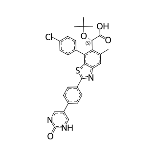 Cc1cc2nc(-c3ccc(-c4cnc(=O)[nH]c4)cc3)sc2c(-c2ccc(Cl)cc2)c1[C@H](OC(C)(C)C)C(=O)O